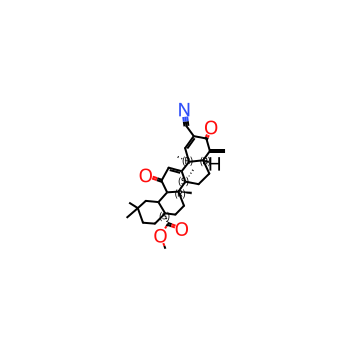 C=C1C(=O)C(C#N)=C[C@]2(C)C3=CC(=O)C4C5CC(C)(C)CC[C@]5(C(=O)OC)CC[C@@]4(C)[C@]3(C)CC[C@@H]12